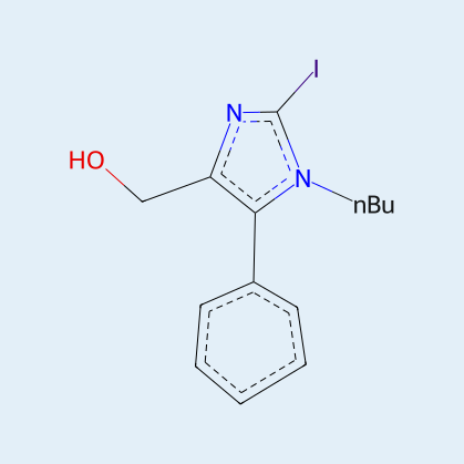 CCCCn1c(I)nc(CO)c1-c1ccccc1